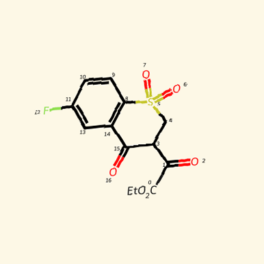 CCOC(=O)C(=O)C1CS(=O)(=O)c2ccc(F)cc2C1=O